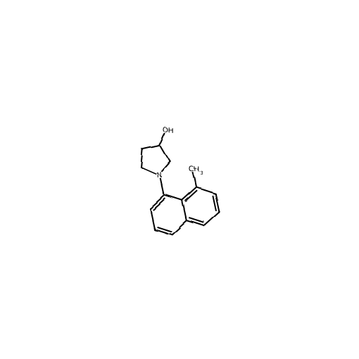 Cc1cccc2cccc(N3CCC(O)C3)c12